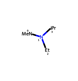 [CH2]NN(CC)C(C)C